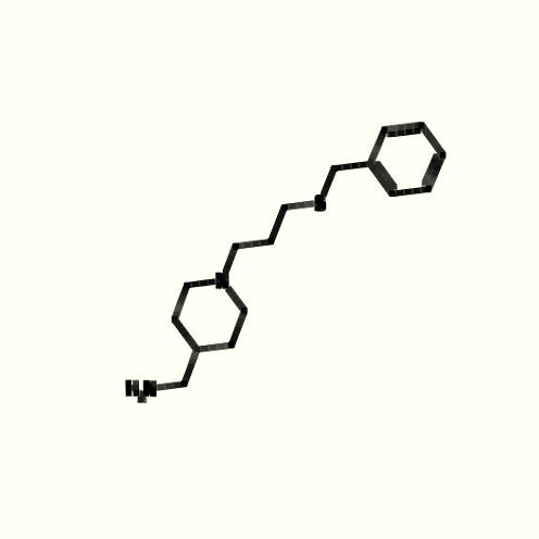 NCC1CCN(CCCSCc2ccccc2)CC1